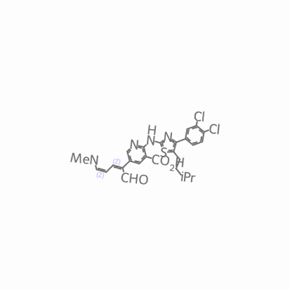 CN/C=C\C=C(/C=O)c1cnc(Nc2nc(-c3ccc(Cl)c(Cl)c3)c(CCC(C)C)s2)c(C(=O)O)c1